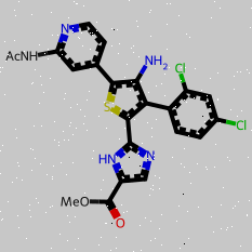 COC(=O)c1cnc(-c2sc(-c3ccnc(NC(C)=O)c3)c(N)c2-c2ccc(Cl)cc2Cl)[nH]1